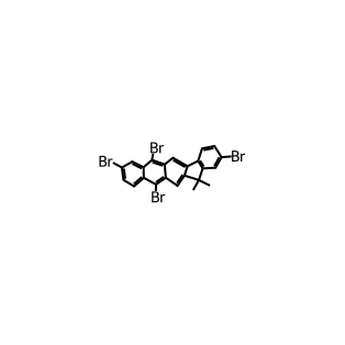 CC1(C)c2cc(Br)ccc2-c2cc3c(Br)c4cc(Br)ccc4c(Br)c3cc21